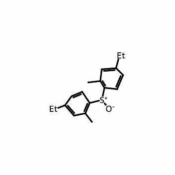 CCc1ccc([S+]([O-])c2ccc(CC)cc2C)c(C)c1